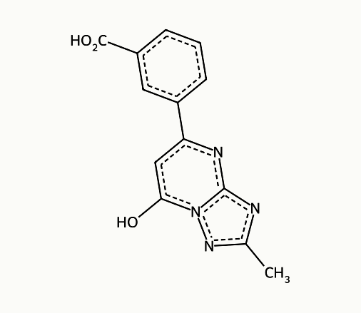 Cc1nc2nc(-c3cccc(C(=O)O)c3)cc(O)n2n1